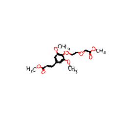 COC(=O)C=Cc1cc(OC)c(OCCOCC(=O)OC)c(OC)c1